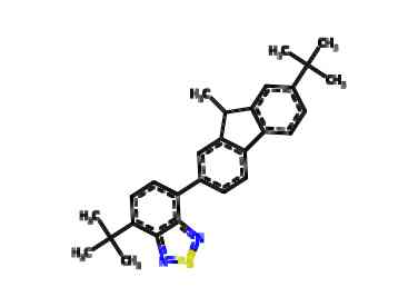 CC1c2cc(-c3ccc(C(C)(C)C)c4nsnc34)ccc2-c2ccc(C(C)(C)C)cc21